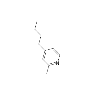 CCCCc1ccnc(C)c1